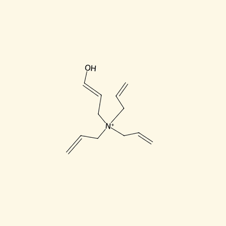 C=CC[N+](CC=C)(CC=C)CC=CO